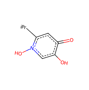 CC(C)c1cc(=O)c(O)cn1O